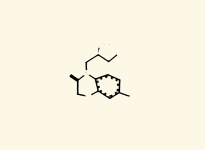 CO[C@@H](CO)CN1C(=O)COc2cc(F)ccc21